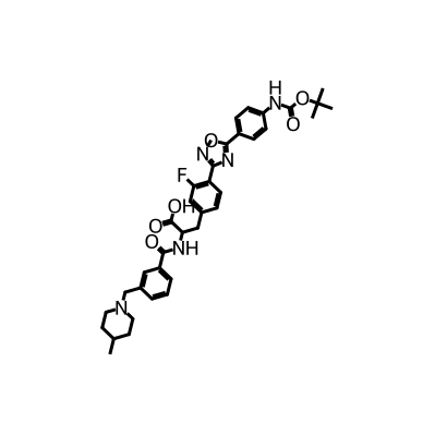 CC1CCN(Cc2cccc(C(=O)NC(Cc3ccc(-c4noc(-c5ccc(NC(=O)OC(C)(C)C)cc5)n4)c(F)c3)C(=O)O)c2)CC1